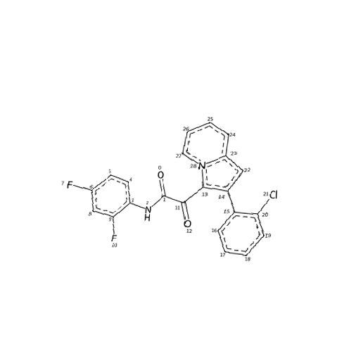 O=C(Nc1ccc(F)cc1F)C(=O)c1c(-c2ccccc2Cl)cc2ccccn12